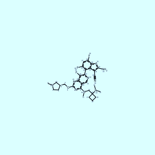 CN1CC[C@H](COc2nc(N(C)CC3(N(C)C)CCC3)c3cnc(-c4c(F)cc(F)c5sc(N)c(C#N)c45)c(F)c3n2)C1